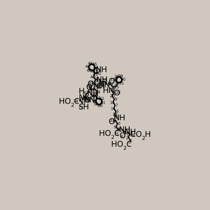 O=C(O)CC[C@H](NC(=O)N[C@@H](CCC(=O)NCCCCCCCC(=O)NC(Cc1ccccc1)C(=O)NCC(=O)NC(Cc1c[nH]c2ccccc12)C(=O)NC(Cc1c[nH]c2ccccc12)C(=O)NCC(=O)NC(CS)C(=O)O)C(=O)O)C(=O)O